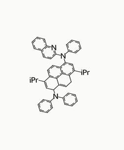 CC(C)C1=CC(N(c2ccccc2)c2ccccc2)C2=CCc3c(C(C)C)cc(N(c4ccccc4)c4ccc5ccccc5n4)c4ccc1c2c34